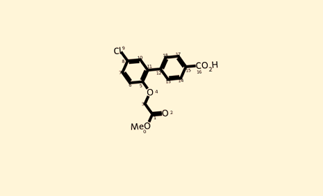 COC(=O)COc1ccc(Cl)cc1-c1ccc(C(=O)O)cc1